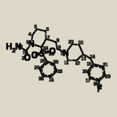 NC(=O)N1CCCC(CCN2CCC(Cc3ccc(F)cc3)CC2)C1S(=O)(=O)c1ccccc1